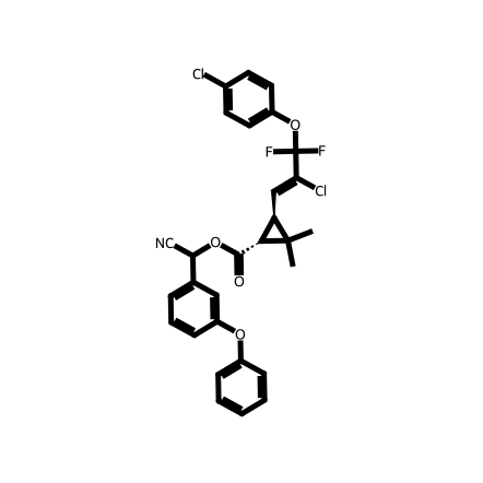 CC1(C)[C@H](C=C(Cl)C(F)(F)Oc2ccc(Cl)cc2)[C@H]1C(=O)OC(C#N)c1cccc(Oc2ccccc2)c1